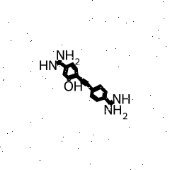 N=C(N)c1ccc(C#Cc2ccc(C(=N)N)cc2O)cc1